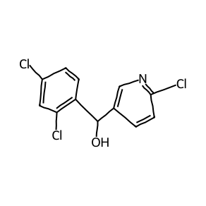 OC(c1ccc(Cl)nc1)c1ccc(Cl)cc1Cl